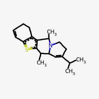 CC(C)C1=CC2C(C)c3sc4c(c3C(C)N2CC1)CCC=C4